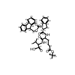 CC(C)C(NC(=O)C(CCCC(=O)OC(C)(C)C)NC(=O)[C@@H]1Cc2ccccc2N1C(=O)OCC1c2ccccc2-c2ccccc21)C(=O)O